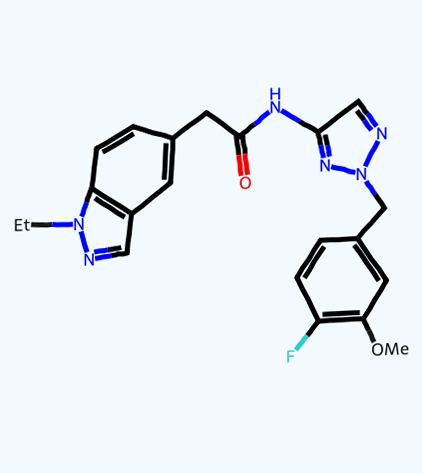 CCn1ncc2cc(CC(=O)Nc3cnn(Cc4ccc(F)c(OC)c4)n3)ccc21